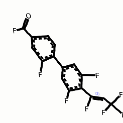 O=C(F)c1ccc(-c2cc(F)c(/C(F)=C/C(F)(F)F)c(F)c2)c(F)c1